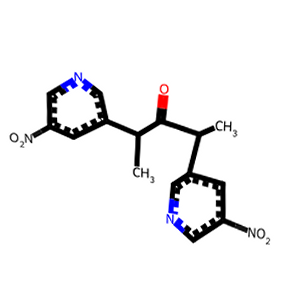 CC(C(=O)C(C)c1cncc([N+](=O)[O-])c1)c1cncc([N+](=O)[O-])c1